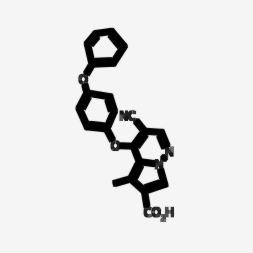 Cc1c(C(=O)O)cn2ncc(C#N)c(Oc3ccc(Oc4ccccc4)cc3)c12